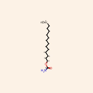 CCCCCCCCCCCCCCCCCCCCCCCOC(N)=O